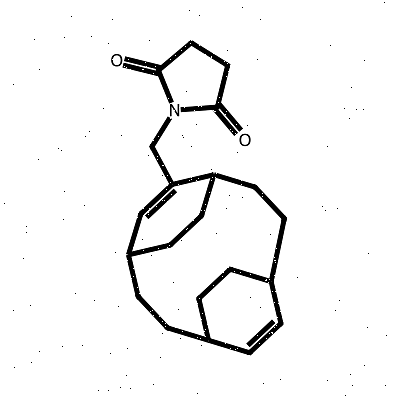 O=C1CCC(=O)N1CC1=CC2CCC3C=CC(CC3)CCC1CC2